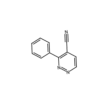 N#Cc1ccnnc1-c1ccccc1